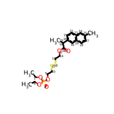 CCOP(=O)(OCC)OCCSSCCOC(=O)C(C)c1ccc2cc(C)ccc2c1